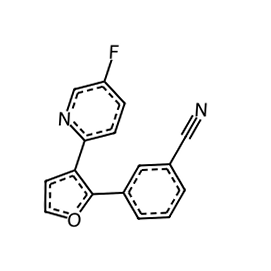 N#Cc1cccc(-c2occc2-c2ccc(F)cn2)c1